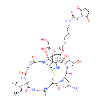 CC[C@H](C)[C@@H]1NC(=O)CNC(=O)C2Cc3c([nH]c4cc(OCCCCCCNC(=O)ON5C(=O)CCC5=O)ccc34)SCC(NC(=O)CNC1=O)C(=O)NC(CC(N)=O)C(=O)N1CC(O)CC1C(=O)NC([C@@H](C)[C@@H](O)CO)C(=O)N2